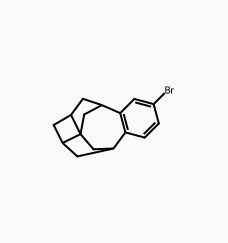 Brc1ccc2c(c1)C1CC3CC4CC2CC43C1